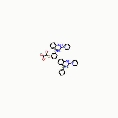 O=C([O-])C(=O)[O-].O=CC(Nc1ccccc1Nc1ccccc1)[n+]1ccccc1.O=CC(Nc1ccccc1Nc1ccccc1)[n+]1ccccc1